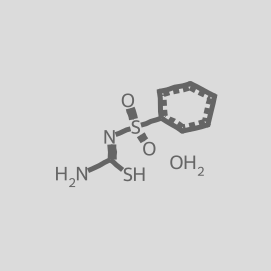 NC(S)=NS(=O)(=O)c1ccccc1.O